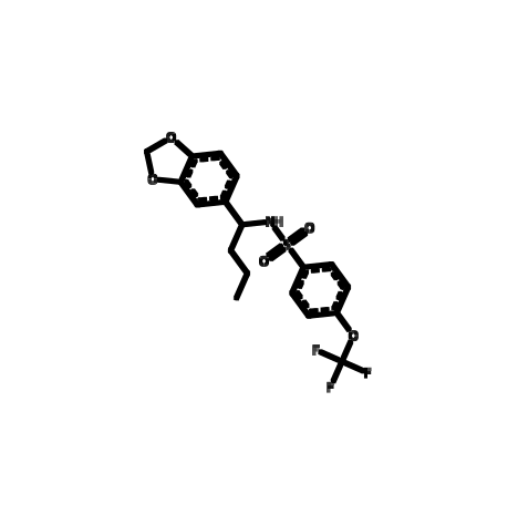 CCCC(NS(=O)(=O)c1ccc(OC(F)(F)F)cc1)c1ccc2c(c1)OCO2